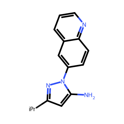 CC(C)c1cc(N)n(-c2ccc3ncccc3c2)n1